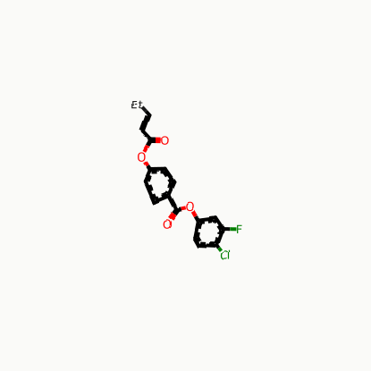 CCC=CC(=O)Oc1ccc(C(=O)Oc2ccc(Cl)c(F)c2)cc1